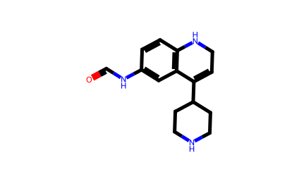 O=CNc1ccc2c(c1)C(C1CCNCC1)=CCN2